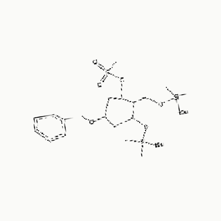 CC(C)(C)[Si](C)(C)OCC1C(O[Si](C)(C)C(C)(C)C)CC(OCc2ccccc2)CC1OS(C)(=O)=O